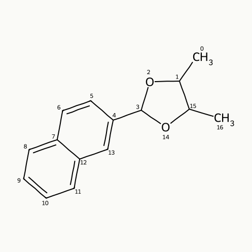 CC1OC(c2ccc3ccccc3c2)OC1C